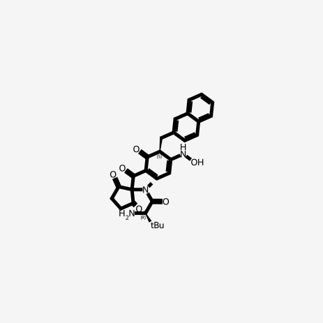 CN(C(=O)[C@H](N)C(C)(C)C)C1(C(=O)C2=CC=C(NO)[C@H](Cc3ccc4ccccc4c3)C2=O)C(=O)CCC1=O